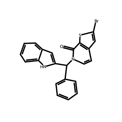 O=c1c2sc(Br)cc2ccn1C(c1ccccc1)c1cc2ccccc2[nH]1